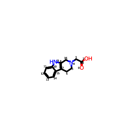 O=C(O)CN1CCc2c([nH]c3ccccc23)C1